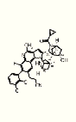 Cc1nc2c(F)c(-c3cccc(Cl)c3Cl)c(CCC#N)cc2c2c1cc([C@H]1[C@H]3C[C@H](C[C@@H]3O)N1C(=O)C1CC1)n2C1[C@H]2CN[C@@H]1C2